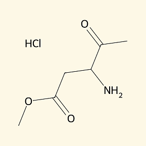 COC(=O)CC(N)C(C)=O.Cl